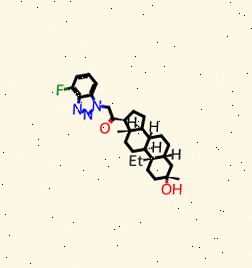 CC[C@]12CC[C@@](C)(O)C[C@H]1CC[C@H]1[C@@H]3CC[C@H](C(=O)Cn4nnc5c(F)cccc54)[C@@]3(C)CC[C@@H]12